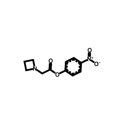 O=C(CN1CCC1)Oc1ccc([N+](=O)[O-])cc1